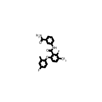 Cc1cc(F)ccc1Oc1ccc(C(F)(F)F)c(F)c1C(=O)Nc1cccc(C(N)=O)c1